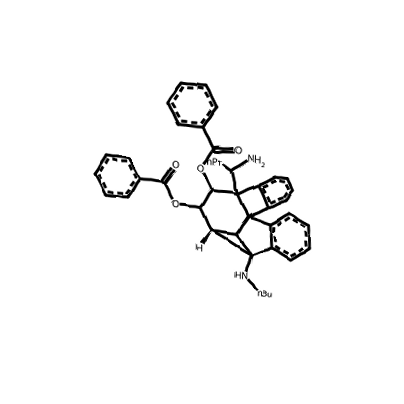 CCCCNC12c3ccccc3C34c5ccccc5C3(C(N)CCC)C(OC(=O)c3ccccc3)C(OC(=O)c3ccccc3)[C@@H]1C24